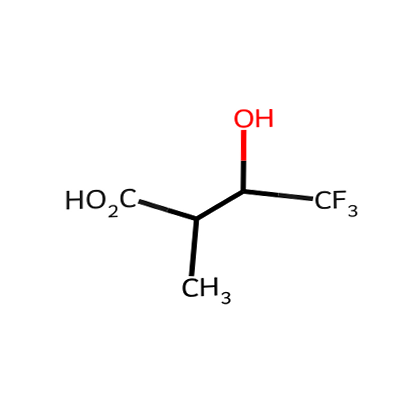 CC(C(=O)O)C(O)C(F)(F)F